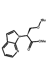 COC(=O)[C@H](COC(C)(C)C)n1ccc2cccnc21